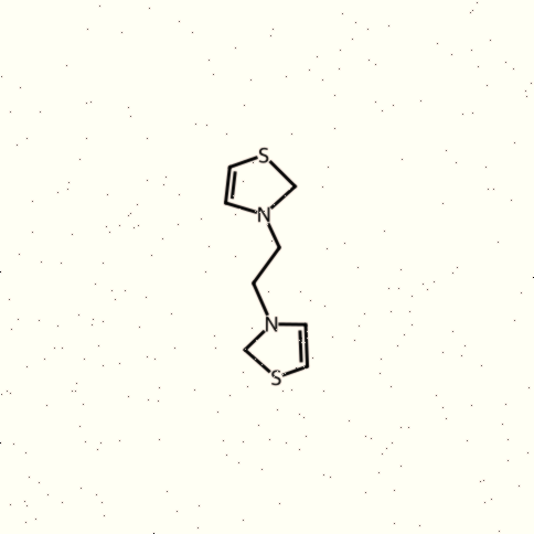 C1=CN(CCN2C=CSC2)CS1